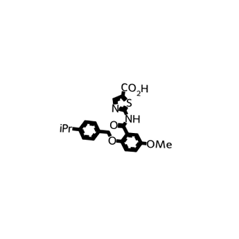 COc1ccc(OCc2ccc(C(C)C)cc2)c(C(=O)Nc2ncc(C(=O)O)s2)c1